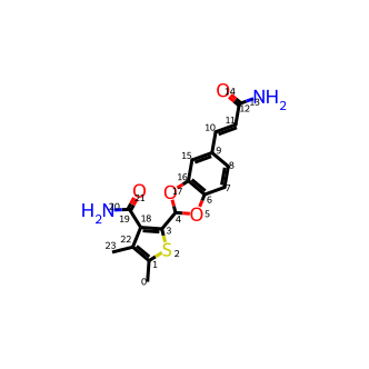 Cc1sc(C2Oc3ccc(C=CC(N)=O)cc3O2)c(C(N)=O)c1C